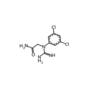 N=C(N)N(CC(N)=O)c1cc(Cl)cc(Cl)c1